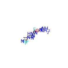 C=C/C=C(\C=C(/CC#N)C(F)(F)F)N1CCc2c(ncnc2Nc2cnc(OCC(C)(C)N(N)/C=C\N)c(F)c2)C1